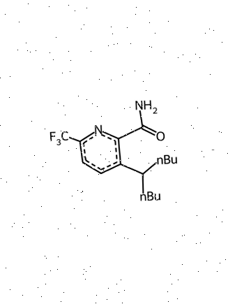 CCCCC(CCCC)c1ccc(C(F)(F)F)nc1C(N)=O